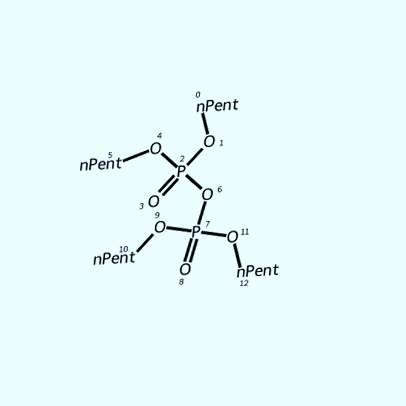 CCCCCOP(=O)(OCCCCC)OP(=O)(OCCCCC)OCCCCC